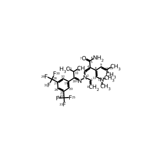 C=CN(/C=C(C(N)=O)\C(C=C(C)C)=C\N(C)C)/N=C(/c1cc(C(F)(F)F)cc(C(F)(F)F)c1)C(C)C